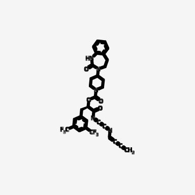 C=C=C=CN=C=C=NC(=O)[C@@H](Cc1cc(C(F)(F)F)cc(C(F)(F)F)c1)OC(=O)N1CCC(N2CCc3ccccc3NC2=O)CC1